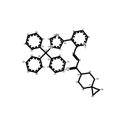 O=C(/C=C/c1ncccc1-c1cn(C(c2ccccc2)(c2ccccc2)c2ccccc2)cn1)C1CCC2(CC1)CC2